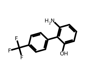 Nc1cccc(O)c1-c1ccc(C(F)(F)F)cc1